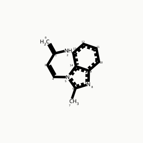 C=C(N)/C=C\n1c(C)nc2ccccc21